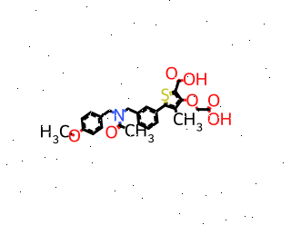 COc1ccc(CN(Cc2cccc(-c3sc(C(=O)O)c(OCC(=O)O)c3C)c2)C(C)=O)cc1